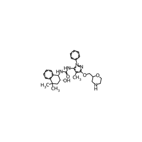 Cc1c(OCC2CNCCO2)nn(-c2ccccc2)c1NC(=O)N[C@@H]1c2ccccc2C(C)(C)C[C@H]1O